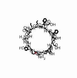 CCCC[C@H]1C(=O)N(C)[C@@H](CCCC)C(=O)N[C@@H](CCC(=O)O)C(=O)N[C@H](C(N)=O)CNCC(=O)N[C@@H](Cc2ccc(O)cc2)C(=O)N2CCCC[C@H]2C(=O)N[C@@H](CC(N)=O)C(=O)N2CCC[C@H]2C(=O)N[C@@H](Cc2c[nH]cn2)C(=O)N[C@@H](CCC(=O)O)C(=O)N2C[C@H](O)C[C@H]2C(=O)N[C@@H](Cc2c[nH]c3ccccc23)C(=O)N[C@@H](C)C(=O)N[C@@H](Cc2cn(CC(=O)O)c3ccccc23)C(=O)N1C